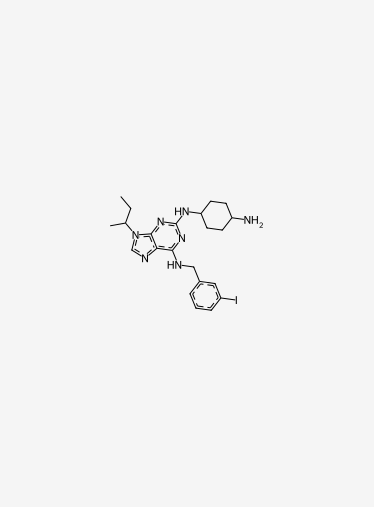 CCC(C)n1cnc2c(NCc3cccc(I)c3)nc(NC3CCC(N)CC3)nc21